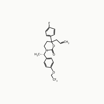 C=CCC1(c2ccc(F)cc2)CCN([C@@H](C)c2ccc(OCC(F)(F)F)cc2)C(=O)O1